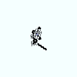 CCCCCCCCOc1ccc(-c2noc([C@@H]3CCCN3/C(=N/C(=O)OC(C)(C)C)NC(=O)OC(C)(C)C)n2)cc1C(F)(F)F